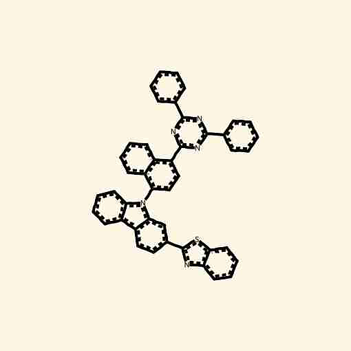 c1ccc(-c2nc(-c3ccccc3)nc(-c3ccc(-n4c5ccccc5c5ccc(-c6nc7ccccc7s6)cc54)c4ccccc34)n2)cc1